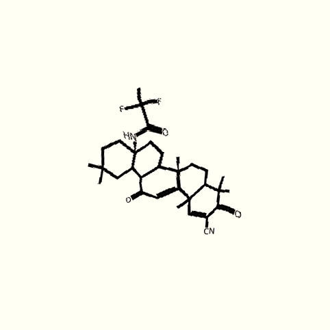 CC1(C)CC[C@]2(NC(=O)C(C)(F)F)CCC3C(C(=O)C=C4C5(C)C=C(C#N)C(=O)C(C)(C)C5CC[C@]43C)C2C1